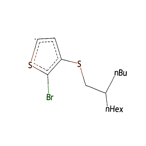 CCCCCCC(CCCC)CSc1c[c]sc1Br